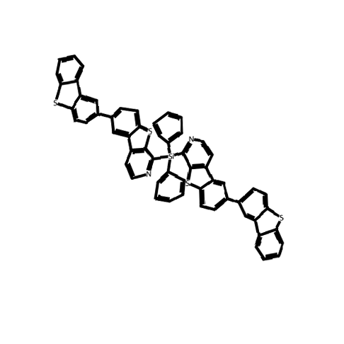 c1ccc([Si](c2ccccc2)(c2nccc3c2sc2ccc(-c4ccc5sc6ccccc6c5c4)cc23)c2nccc3c2sc2ccc(-c4ccc5sc6ccccc6c5c4)cc23)cc1